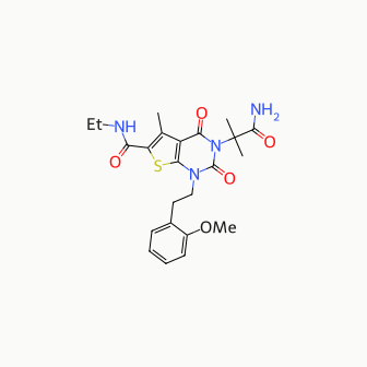 CCNC(=O)c1sc2c(c1C)c(=O)n(C(C)(C)C(N)=O)c(=O)n2CCc1ccccc1OC